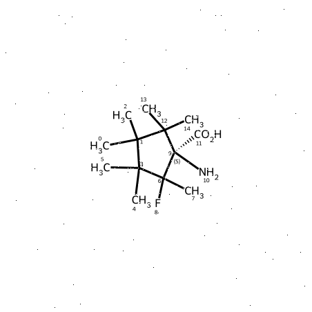 CC1(C)C(C)(C)C(C)(F)[C@@](N)(C(=O)O)C1(C)C